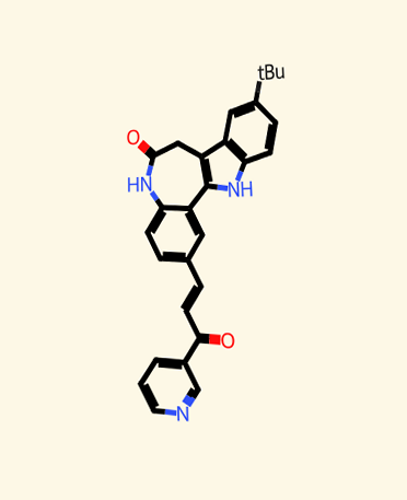 CC(C)(C)c1ccc2[nH]c3c(c2c1)CC(=O)Nc1ccc(C=CC(=O)c2cccnc2)cc1-3